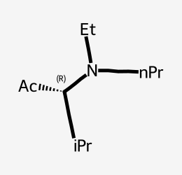 CCCN(CC)[C@@H](C(C)=O)C(C)C